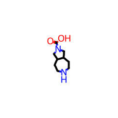 O=C(O)N1CC2CCNCCC2C1